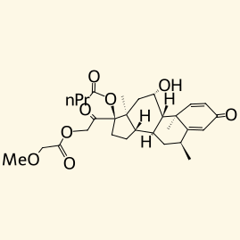 CCCC(=O)O[C@]1(C(=O)COC(=O)COC)CC[C@H]2[C@@H]3C[C@H](C)C4=CC(=O)C=C[C@]4(C)[C@H]3[C@@H](O)C[C@@]21C